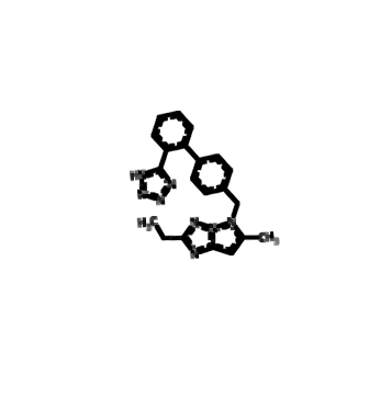 CCc1nc2cc(C)n(Cc3ccc(-c4ccccc4-c4nnn[nH]4)cc3)n2n1